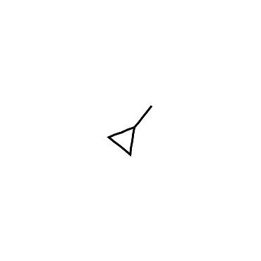 CC1CC1